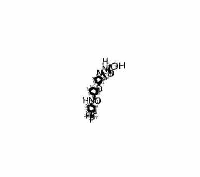 O=C(CO)Nc1nc2ccc(Oc3cccc(C(=O)Nc4ccc(C(F)(F)F)cc4)c3)cc2s1